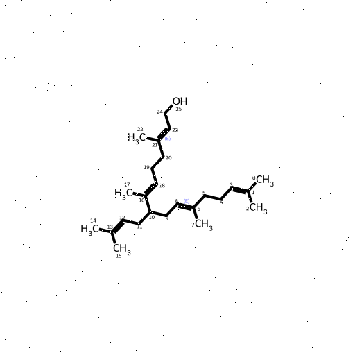 CC(C)=CCC/C(C)=C/CC(CC=C(C)C)C(C)=CCC/C(C)=C/CO